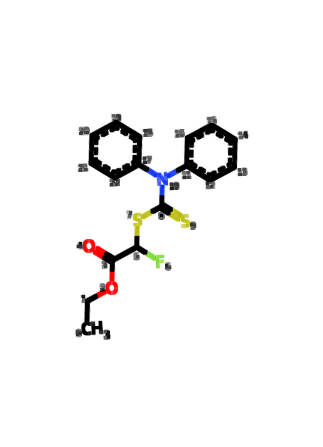 CCOC(=O)C(F)SC(=S)N(c1ccccc1)c1ccccc1